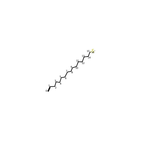 C=CCCCCCCCCCCCCCC[S]